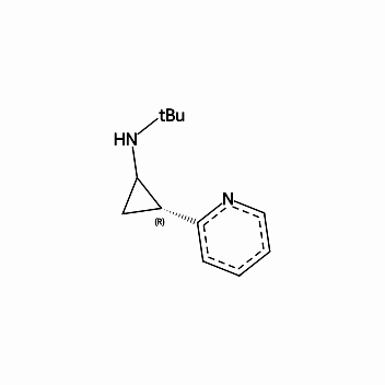 CC(C)(C)NC1C[C@H]1c1ccccn1